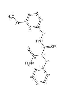 COc1cccc(CNC(=O)C(Cc2ccccc2)C(N)=O)c1